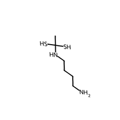 CC(S)(S)NCCCCN